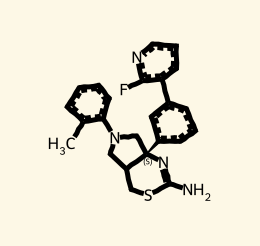 Cc1ccccc1N1CC2CSC(N)=N[C@@]2(c2cccc(-c3cccnc3F)c2)C1